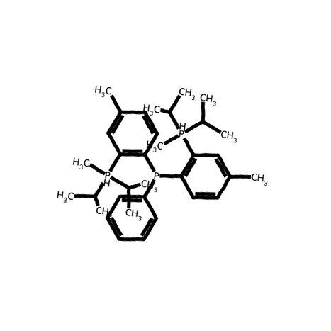 Cc1ccc(P(c2ccccc2)c2ccc(C)cc2[PH](C)(C(C)C)C(C)C)c([PH](C)(C(C)C)C(C)C)c1